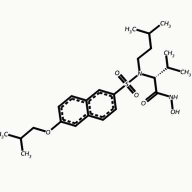 CC(C)CCN([C@@H](C(=O)NO)C(C)C)S(=O)(=O)c1ccc2cc(OCC(C)C)ccc2c1